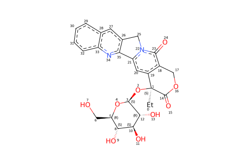 CC[C@@]1(O[C@@H]2O[C@H](CO)[C@@H](O)[C@H](O)[C@H]2O)C(=O)OCc2c1cc1n(c2=O)Cc2cc3ccccc3nc2-1